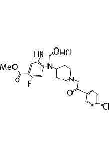 COC(=O)c1cc2[nH]c(=O)n(C3CCN(CC(=O)c4ccc(Cl)cc4)CC3)c2cc1F.Cl